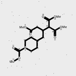 COC(=O)CC(CC1CCN(C(=O)OC(C)(C)C)CC1)C(C(=O)OC)C(=O)OC